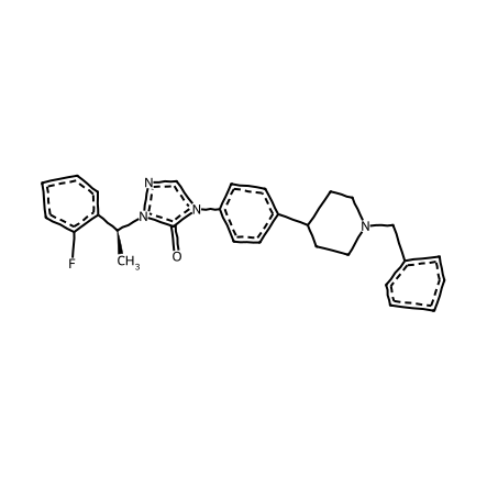 C[C@@H](c1ccccc1F)n1ncn(-c2ccc(C3CCN(Cc4ccccc4)CC3)cc2)c1=O